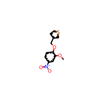 COc1cc([N+](=O)[O-])ccc1OCc1ccsc1